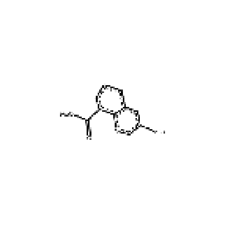 CCCCc1cnc2c(C(=O)OC)cccc2c1